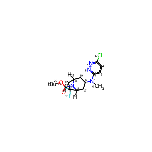 CN(c1ccc(Cl)nn1)[C@@H]1C[C@H]2CC(F)(F)[C@@H](C1)N2C(=O)OC(C)(C)C